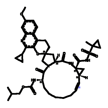 COc1ccc2c3c(c(C4CC4)nc2c1)O[C@]1(CC3)C[C@H]2C(=O)N[C@]3(C(=O)NS(=O)(=O)C4(C)CC4)C[C@H]3/C=C\CCCCC[C@H](NC(=O)OCC(C)C)C(=O)N2C1